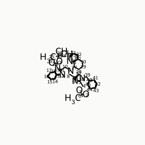 CC(=O)OCc1nc(CN(Cc2nc3ccccc3n2C(=O)OC(C)(C)C)C2CCCc3cccnc32)cn1Cc1ccccc1